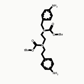 CC(C)(C)OC(=O)N(CCc1ccc(N)cc1)CCN(Cc1ccc(N)cc1)C(=O)OC(C)(C)C